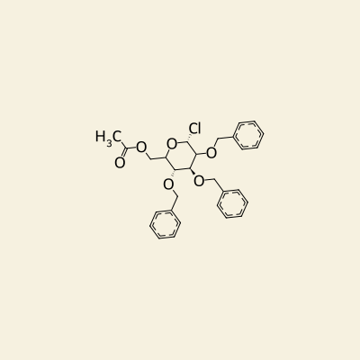 CC(=O)OCC1O[C@H](Cl)C(OCc2ccccc2)[C@@H](OCc2ccccc2)[C@@H]1OCc1ccccc1